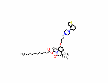 CCCCCCCCCCC(=O)OC(C)N1C(=O)CC(C)(C)c2ccc(OCCCCN3CCN(c4cccc5sccc45)CC3)cc21